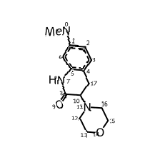 CNc1ccc2c(c1)NC(=O)C(N1CCOCC1)C2